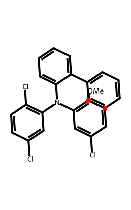 COc1ccc(Cl)cc1N(c1cc(Cl)ccc1Cl)c1ccccc1-c1ccccc1